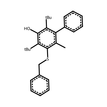 Cc1c(SCc2ccccc2)c(C(C)(C)C)c(O)c(C(C)(C)C)c1-c1ccccc1